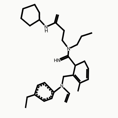 C=CN(CC1=C(C)C=CCC1C(=N)N(CCC)CCC(=C)NC1CCCCC1)c1ccc(CC)cc1